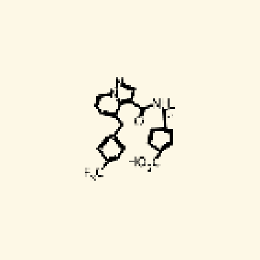 C[C@H](NC(=O)c1cnn2cccc(Cc3ccc(C(F)(F)F)cc3)c12)c1ccc(C(=O)O)cc1